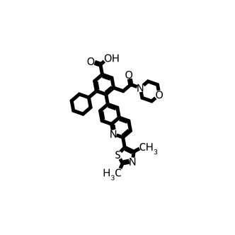 Cc1nc(C)c(-c2ccc3cc(-c4c(CC(=O)N5CCOCC5)cc(C(=O)O)cc4C4CCCCC4)ccc3n2)s1